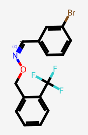 FC(F)(F)c1ccccc1CO/N=[C]\c1cccc(Br)c1